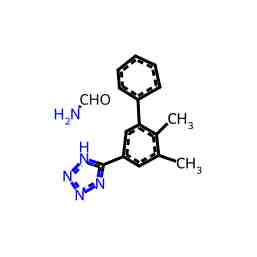 Cc1cc(-c2nnn[nH]2)cc(-c2ccccc2)c1C.NC=O